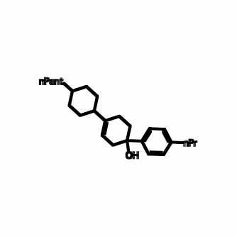 CCCCCC1CCC(C2=CCC(O)(c3ccc(CCC)cc3)CC2)CC1